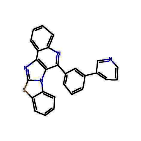 c1cncc(-c2cccc(-c3nc4ccccc4c4nc5sc6ccccc6n5c34)c2)c1